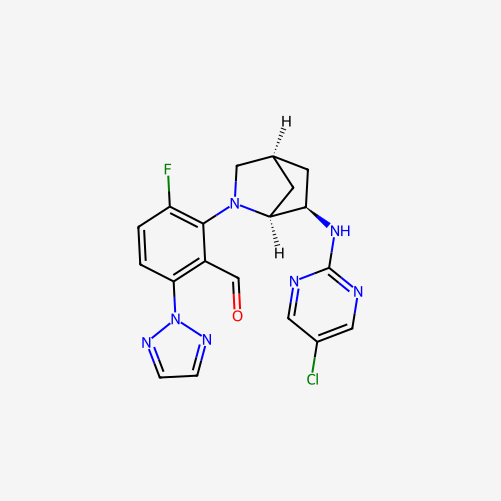 O=Cc1c(-n2nccn2)ccc(F)c1N1C[C@H]2C[C@@H](Nc3ncc(Cl)cn3)[C@@H]1C2